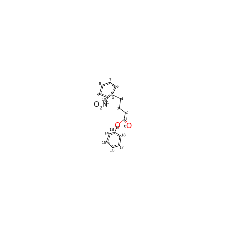 O=C(CCCc1ccccc1[N+](=O)[O-])Oc1ccccc1